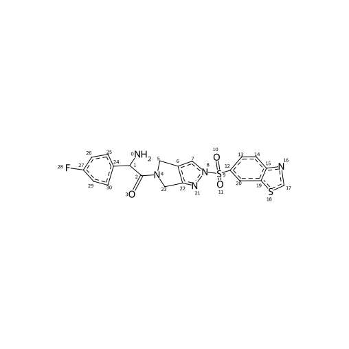 NC(C(=O)N1Cc2cn(S(=O)(=O)c3ccc4ncsc4c3)nc2C1)c1ccc(F)cc1